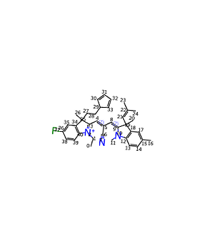 CC[N+]1=C(/C=C(C#N)/C=C2\N(C)c3ccc(C)cc3C2(C)C=C(C)C)C(C)(CCC2C=CC=C2)c2cc(F)ccc21